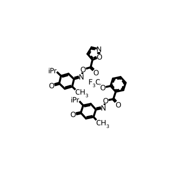 CC1=CC(=O)C(C(C)C)=CC1=NOC(=O)c1ccccc1OC(F)(F)F.CC1=CC(=O)C(C(C)C)=CC1=NOC(=O)c1ccno1